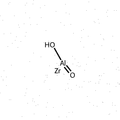 [O]=[Al][OH].[Zr]